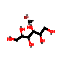 OC[C@@H](O)[C@@H](O)[C@H](O)[C@@H](O)CO.[Br-].[Na+]